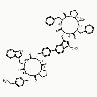 NCc1ccc(C[C@@H]2NC(=O)[C@@H](Cc3c[nH]c4ccccc34)NC(=O)[C@H](Cc3ccc(-c4ccc5c(c4)c(C[C@H]4NC(=O)[C@H](Cc6ccccc6)NC(O)[C@H]6CCCN6C(=O)[C@H](Cc6ccccc6)NC4=O)cn5C=O)cc3)NC(=O)[C@H]3CCCN3C2=O)cc1